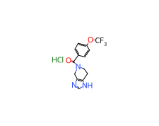 Cl.O=C(c1ccc(OC(F)(F)F)cc1)N1CCc2[nH]cnc2C1